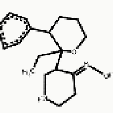 CCC1(C2CNCCC2=NO)OCCCC1c1ccccc1